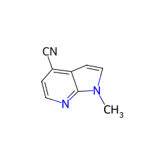 Cn1ccc2c(C#N)ccnc21